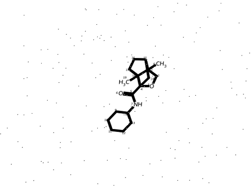 CC12COC3(C(=O)NC4CCCCC4)CC1CCC32C